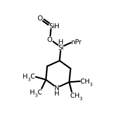 CCC[SiH](O[SiH]=O)C1CC(C)(C)NC(C)(C)C1